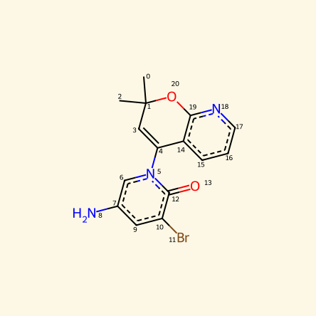 CC1(C)C=C(n2cc(N)cc(Br)c2=O)c2cccnc2O1